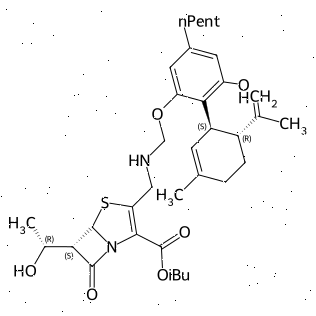 C=C(C)[C@@H]1CCC(C)=C[C@H]1c1c(O)cc(CCCCC)cc1OCNCC1=C(C(=O)OCC(C)C)N2C(=O)[C@H]([C@@H](C)O)C2S1